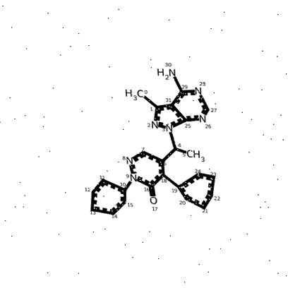 Cc1nn(C(C)c2cnn(-c3ccccc3)c(=O)c2-c2ccccc2)c2ncnc(N)c12